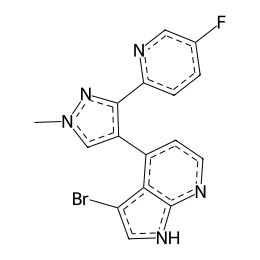 Cn1cc(-c2ccnc3[nH]cc(Br)c23)c(-c2ccc(F)cn2)n1